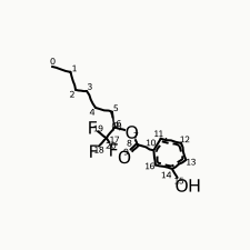 CCCCCC[C@@H](OC(=O)c1[c]ccc(O)c1)C(F)(F)F